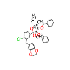 CC[C@H]1OC(OC)(c2ccc(Cl)c(Cc3ccc4c(c3)OCCO4)c2)[C@H](OCc2ccccc2)[C@@H](OCc2ccccc2)[C@@H]1C